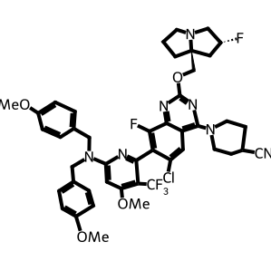 COc1ccc(CN(Cc2ccc(OC)cc2)c2cc(OC)c(C(F)(F)F)c(-c3c(Cl)cc4c(N5CCC(C#N)CC5)nc(OC[C@@]56CCCN5C[C@H](F)C6)nc4c3F)n2)cc1